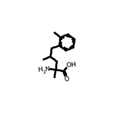 Cc1ccccc1CC(C)CC(C)(N)C(=O)O